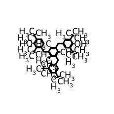 Cc1c(Cc2cc(C(C)(C)C)cc(C(C)(C)C)c2)c(C)c(Cc2ccc(C(C)(C)C)c(O)c2C(C)(C)C)c(C)c1Cc1cc(C(C)(C)C)c(O)c(C(C)(C)C)c1